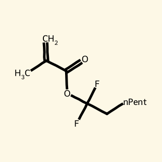 C=C(C)C(=O)OC(F)(F)CCCCCC